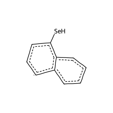 [SeH]c1cc[c]c2ccccc12